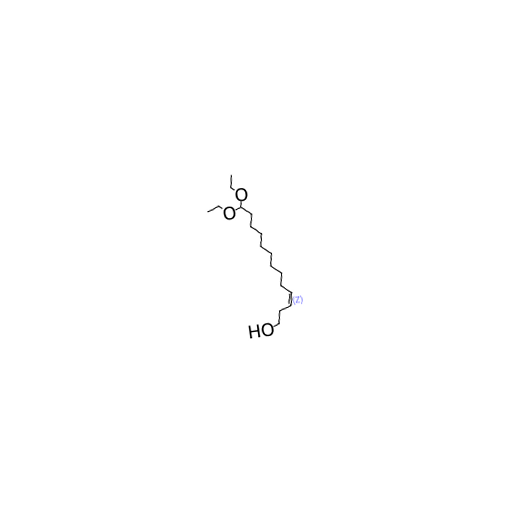 CCOC(CCCCCCCC/C=C\CCO)OCC